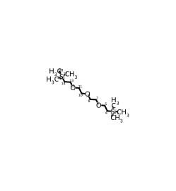 C[Si](C)(C)CCOCCOCCOCC[Si](C)(C)C